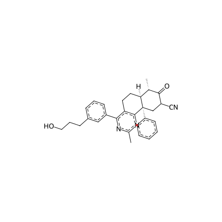 Cc1nc(-c2cccc(CCCO)c2)c2c(n1)[C@]1(c3ccccc3)CC(C#N)C(=O)[C@@H](C)[C@@H]1CC2